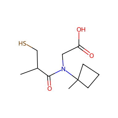 CC(CS)C(=O)N(CC(=O)O)C1(C)CCC1